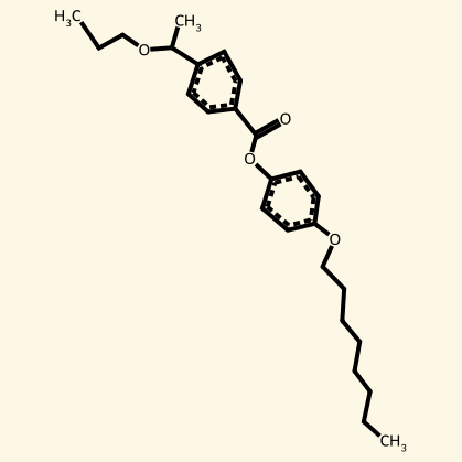 CCCCCCCCOc1ccc(OC(=O)c2ccc(C(C)OCCC)cc2)cc1